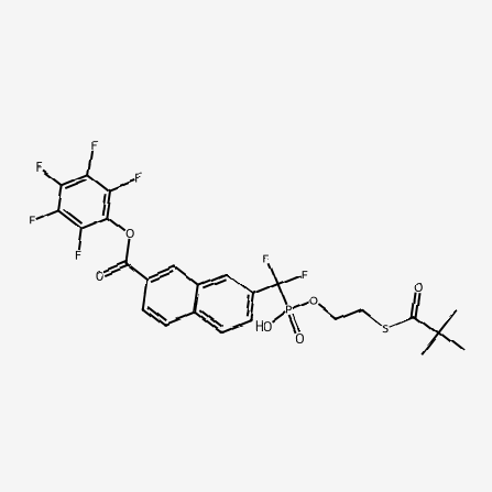 CC(C)(C)C(=O)SCCOP(=O)(O)C(F)(F)c1ccc2ccc(C(=O)Oc3c(F)c(F)c(F)c(F)c3F)cc2c1